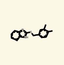 Cc1ccc(CSc2nc3ccccc3[nH]2)cc1C